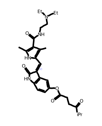 CCN(CC)CCNC(=O)c1c(C)[nH]c(/C=C2\C(=O)Nc3ccc(OC(=O)CCC(=O)C(C)C)cc32)c1C